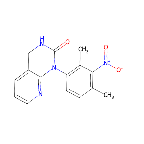 Cc1ccc(N2C(=O)NCc3cccnc32)c(C)c1[N+](=O)[O-]